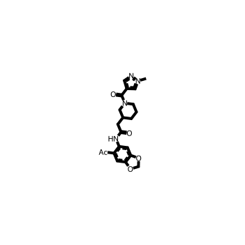 CC(=O)c1cc2c(cc1NC(=O)CC1CCCN(C(=O)c3cnn(C)c3)C1)OCO2